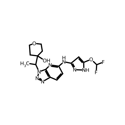 CC(n1nnc2ccc(Nc3cc(OC(F)F)[nH]n3)nc21)C1(O)CCOCC1